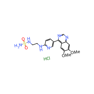 COc1cc2ncnc(-c3ccc(NCCNS(N)(=O)=O)nc3)c2cc1OC.Cl